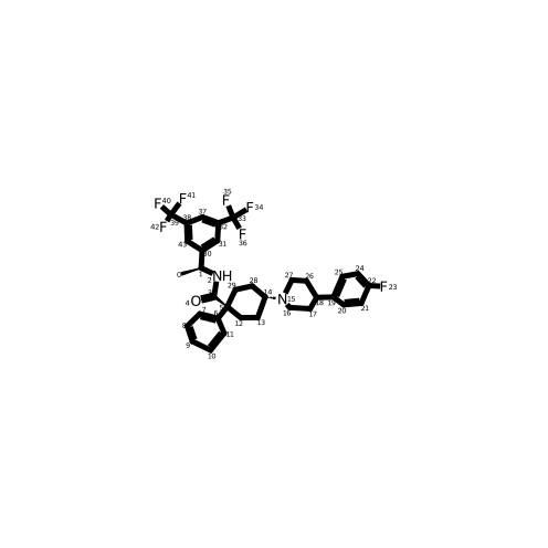 C[C@H](NC(=O)[C@]1(c2ccccc2)CC[C@@H](N2CCC(c3ccc(F)cc3)CC2)CC1)c1cc(C(F)(F)F)cc(C(F)(F)F)c1